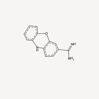 N=C(N)c1ccc2c(c1)Oc1ccccc1N2